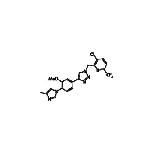 COc1cc(-c2cn(Cc3nc(C(F)(F)F)ccc3Cl)nn2)ccc1-n1cnc(C)c1